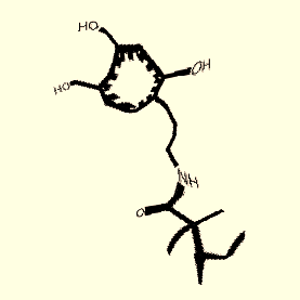 CC(C)C(C)(C)C(=O)NCCc1cc(O)c(O)cc1O